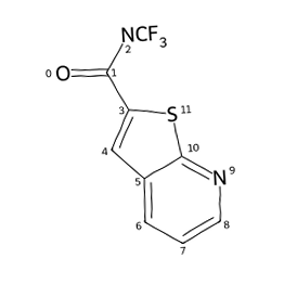 O=C(NC(F)(F)F)c1cc2cccnc2s1